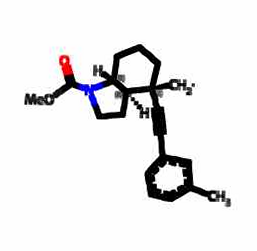 [CH2][C@]1(C#Cc2cccc(C)c2)CCC[C@@H]2[C@@H]1CCN2C(=O)OC